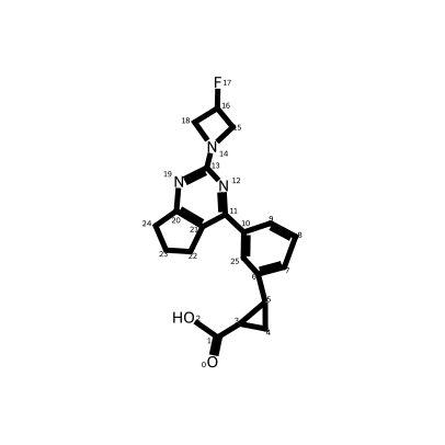 O=C(O)C1CC1c1cccc(-c2nc(N3CC(F)C3)nc3c2CCC3)c1